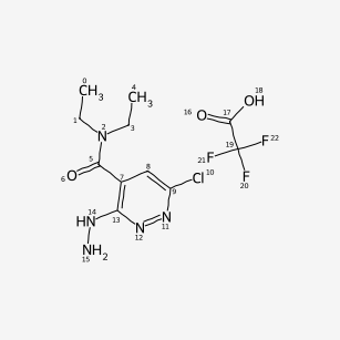 CCN(CC)C(=O)c1cc(Cl)nnc1NN.O=C(O)C(F)(F)F